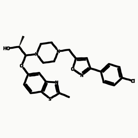 Cc1nc2cc(OC([C@@H](C)O)N3CCN(Cc4cc(-c5ccc(Cl)cc5)no4)CC3)ccc2s1